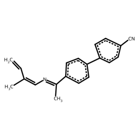 C=C/C(C)=C\N=C(/C)c1ccc(-c2ccc(C#N)cc2)cc1